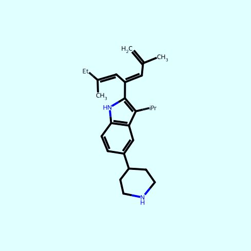 C=C(C)/C=C(\C=C(/C)CC)c1[nH]c2ccc(C3CCNCC3)cc2c1C(C)C